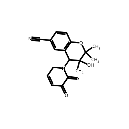 CC1(C)Oc2ccc(C#N)cc2C(N2CC=CC(=O)C2=S)C1(C)O